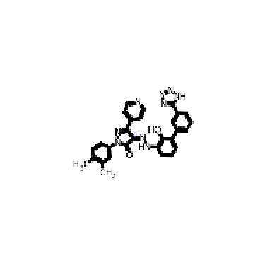 Cc1ccc(N2N=C(c3ccncc3)/C(=N/Nc3cccc(-c4cccc(-c5nnn[nH]5)c4)c3O)C2=O)cc1C